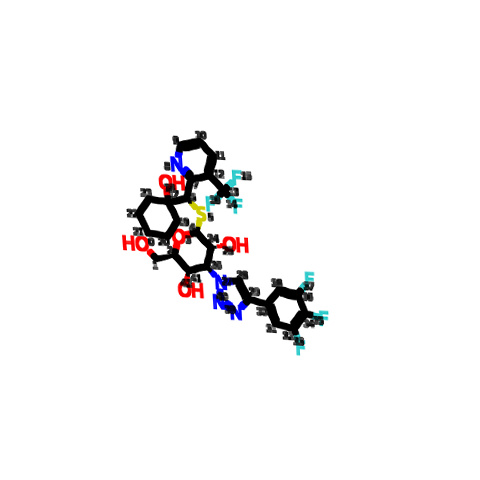 OC[C@H]1O[C@@H](S[C@H](c2ncccc2C(F)(F)F)C2(O)CCCCC2)[C@H](O)[C@@H](n2cc(-c3cc(F)c(F)c(F)c3)nn2)[C@H]1O